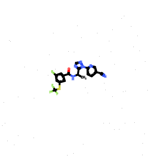 CC(NC(=O)c1cc(F)cc(SC(F)(F)F)c1)c1ncnn1-c1ccc(C#N)cn1